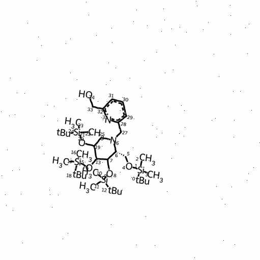 CC(C)(C)[Si](C)(C)OC[C@@H]1C(O[Si](C)(C)C(C)(C)C)C(O[Si](C)(C)C(C)(C)C)C(O[Si](C)(C)C(C)(C)C)CN1Cc1cccc(CO)n1